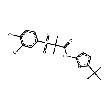 CC(C)(C)c1csc(NC(=O)C(C)(C)S(=O)(=O)c2ccc(Cl)c(Cl)c2)n1